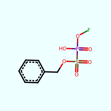 O=P(O)(OF)S(=O)(=O)OCc1ccccc1